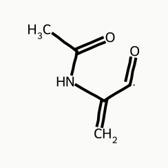 C=C([C]=O)NC(C)=O